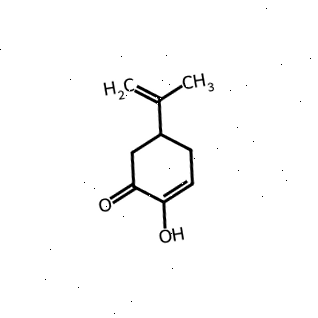 C=C(C)C1CC=C(O)C(=O)C1